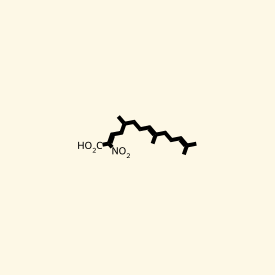 CC(C)=CCC/C(C)=C/CCC(C)C/C=C(/C(=O)O)[N+](=O)[O-]